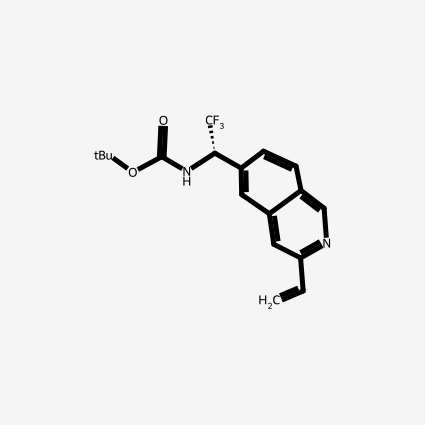 C=Cc1cc2cc([C@H](NC(=O)OC(C)(C)C)C(F)(F)F)ccc2cn1